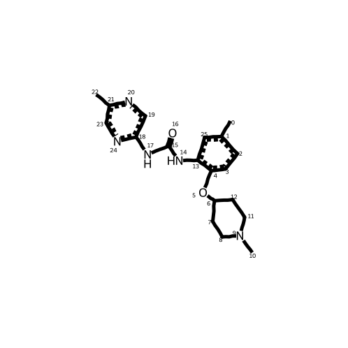 Cc1ccc(OC2CCN(C)CC2)c(NC(=O)Nc2cnc(C)cn2)c1